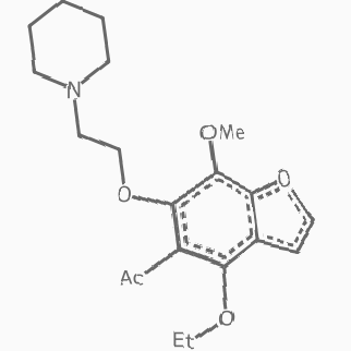 CCOc1c(C(C)=O)c(OCCN2CCCCC2)c(OC)c2occc12